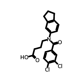 O=C(O)CCCN(C(=O)c1ccc(Cl)c(Cl)c1)c1ccc2c(c1)CCC2